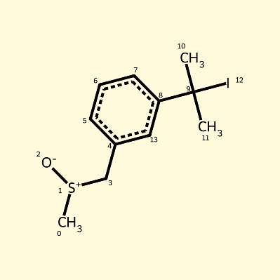 C[S+]([O-])Cc1cccc(C(C)(C)I)c1